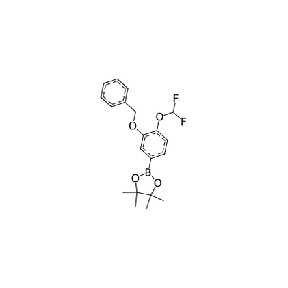 CC1(C)OB(c2ccc(OC(F)F)c(OCc3ccccc3)c2)OC1(C)C